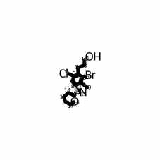 OCCCc1c(Cl)cc2c(cnn2C2CCCCO2)c1Br